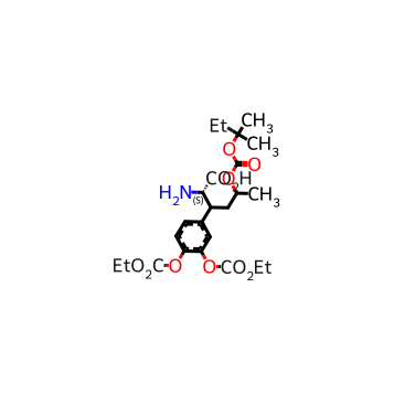 CCOC(=O)Oc1ccc(C(CC(C)OC(=O)OC(C)(C)CC)[C@H](N)C(=O)O)cc1OC(=O)OCC